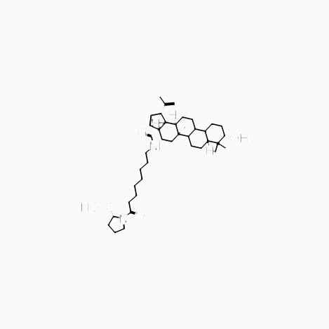 C=C(C)[C@@H]1CC[C@]2(C(=O)NCCCCCCCC(=O)N3CCC[C@H]3C(=O)O)CC[C@]3(C)[C@H](CCC4[C@@]5(C)CC[C@H](O)C(C)(C)[C@@H]5CC[C@]43C)[C@@H]12